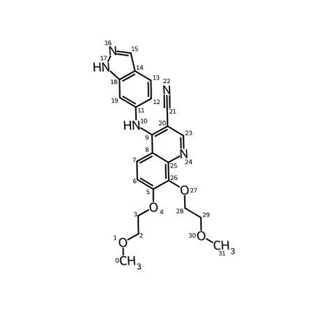 COCCOc1ccc2c(Nc3ccc4cn[nH]c4c3)c(C#N)cnc2c1OCCOC